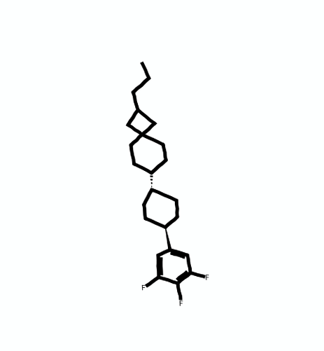 CCCC1CC2(CCC([C@H]3CC[C@H](c4cc(F)c(F)c(F)c4)CC3)CC2)C1